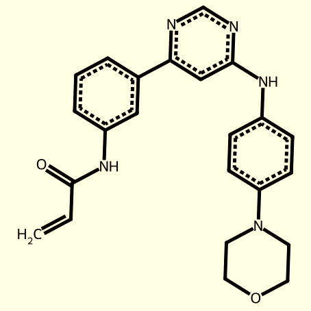 C=CC(=O)Nc1cccc(-c2cc(Nc3ccc(N4CCOCC4)cc3)ncn2)c1